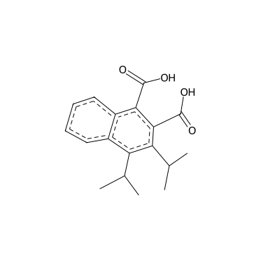 CC(C)c1c(C(=O)O)c(C(=O)O)c2ccccc2c1C(C)C